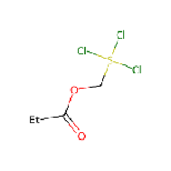 CCC(=O)OCS(Cl)(Cl)Cl